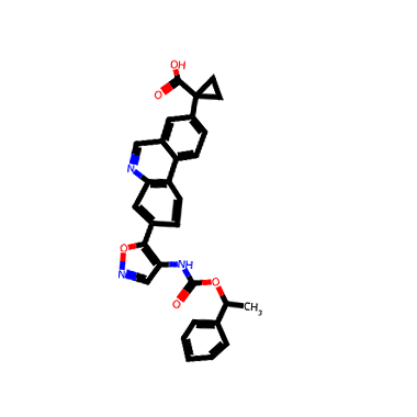 CC(OC(=O)Nc1cnoc1-c1ccc2c(c1)ncc1cc(C3(C(=O)O)CC3)ccc12)c1ccccc1